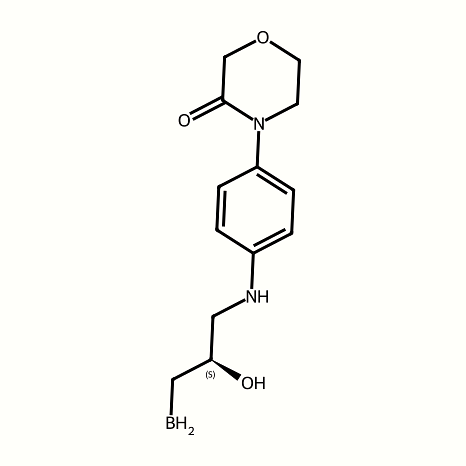 BC[C@H](O)CNc1ccc(N2CCOCC2=O)cc1